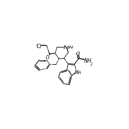 NC(=O)c1[nH]c2ccccc2c1C1CNCC(C(=O)CCl)C1Cc1ccccc1